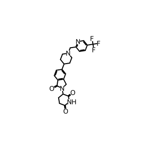 O=C1CCC(N2Cc3cc(C4CCN(Cc5ccc(C(F)(F)F)cn5)CC4)ccc3C2=O)C(=O)N1